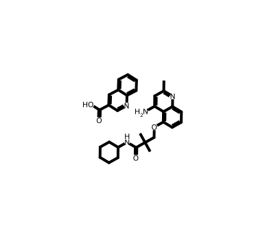 Cc1cc(N)c2c(OCC(C)(C)C(=O)NC3CCCCC3)cccc2n1.O=C(O)c1cnc2ccccc2c1